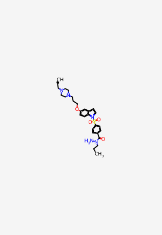 C#CCN1CCN(CCCOc2ccc3c(ccn3S(=O)(=O)c3ccc(C(=O)N(N)CCC)cc3)c2)CC1